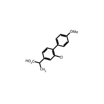 COc1ccc(-c2ccc(C(C)C(=O)O)cc2Cl)cc1